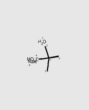 CC(C)(C)C(=O)O.O.[NaH]